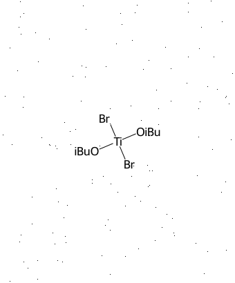 CC(C)C[O][Ti]([Br])([Br])[O]CC(C)C